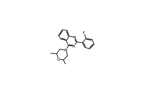 CC1CN(c2nc(-c3ccccc3F)nc3ccccc23)CC(C)O1